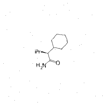 CC(C)[C@H](C(N)=O)C1CCCCC1